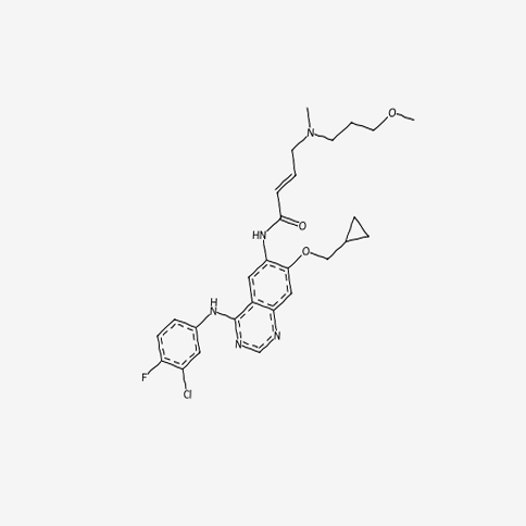 COCCCN(C)CC=CC(=O)Nc1cc2c(Nc3ccc(F)c(Cl)c3)ncnc2cc1OCC1CC1